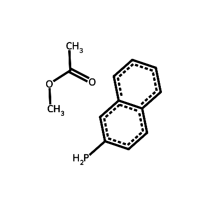 COC(C)=O.Pc1ccc2ccccc2c1